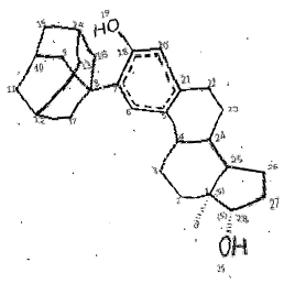 C[C@]12CCC3c4cc(C56CC7CC(CC(C7)C5)C6)c(O)cc4CCC3C1CC[C@@H]2O